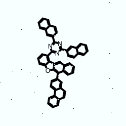 c1ccc2cc(-c3nc(-c4ccc5ccccc5c4)nc(-c4cccc5oc6c(-c7ccc8c(ccc9ccccc98)c7)c7ccccc7cc6c45)n3)ccc2c1